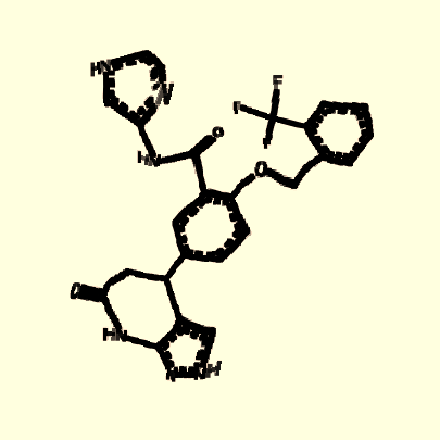 O=C1CC(c2ccc(OCc3ccccc3C(F)(F)F)c(C(=O)Nc3c[nH]cn3)c2)c2c[nH]nc2N1